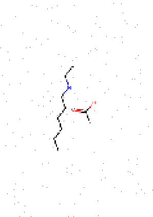 CC(=O)O.CCCCCCNCC